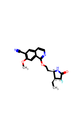 CC[C@@H]1[C@H](F)C(=O)N[C@@H]1CCOc1nccc2cc(C#N)c(OC)cc12